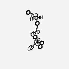 N=C(NC(=O)OCc1ccccc1)c1ccc(CCC(=O)N2CCCc3cc(N(CCN4CCOCC4)S(=O)(=O)c4cccc5ccccc45)ccc32)cc1